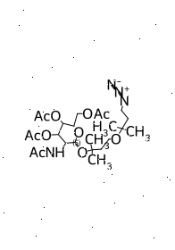 CC(=O)NC1C(OC(C)=O)C(OC(C)=O)C(COC(C)=O)O[C@H]1OC(C)(C)CCOC(C)(C)CCN=[N+]=[N-]